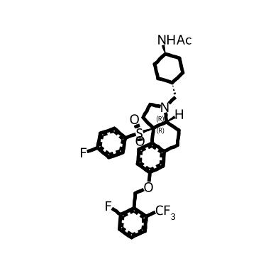 CC(=O)N[C@H]1CC[C@H](CN2CC[C@@]3(S(=O)(=O)c4ccc(F)cc4)c4ccc(OCc5c(F)cccc5C(F)(F)F)cc4CC[C@@H]23)CC1